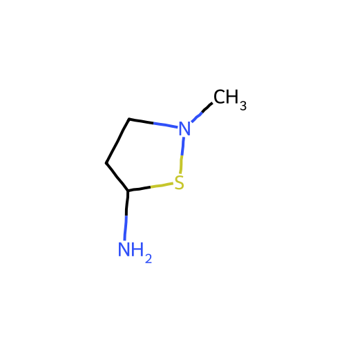 CN1CCC(N)S1